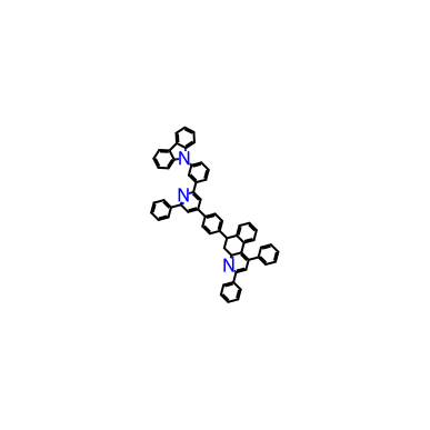 c1ccc(-c2cc(-c3ccc(C4Cc5nc(-c6ccccc6)cc(-c6ccccc6)c5-c5ccccc54)cc3)cc(-c3cccc(-n4c5ccccc5c5ccccc54)c3)n2)cc1